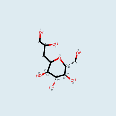 OCC(O)CC1O[C@H](CO)[C@@H](O)[C@H](O)[C@H]1O